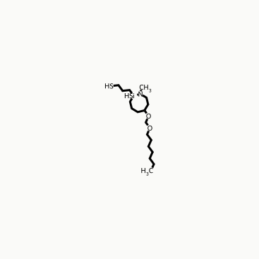 CCCCCCCOCOC1CCC[SiH](CCCS)N(C)CC1